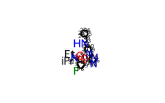 CCN(C(=O)c1cc(F)ccc1Oc1cncnc1N1CCC(NCC2CCCCC2)CC1)C(C)C